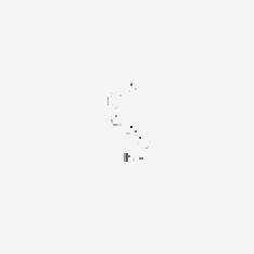 Cc1ccc(C(=O)NC2CC2)cc1NC(=O)c1ccc(-c2cc(C#N)ccc2C)s1